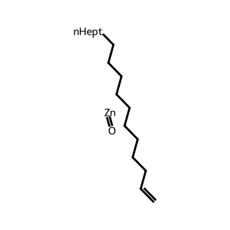 C=CCCCCCCCCCCCCCCCC.[O]=[Zn]